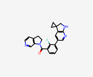 O=C(c1cccc(-c2cnc3c(c2)C2(CC2)CN3)c1F)N1CCc2ccncc21